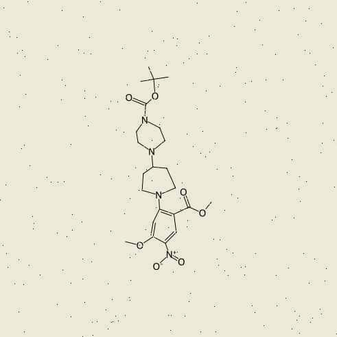 COC(=O)c1cc([N+](=O)[O-])c(OC)cc1N1CCC(N2CCN(C(=O)OC(C)(C)C)CC2)CC1